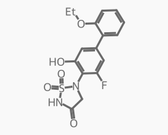 CCOc1ccccc1-c1cc(O)c(N2CC(=O)NS2(=O)=O)c(F)c1